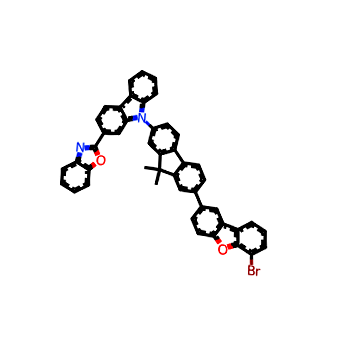 CC1(C)c2cc(-c3ccc4oc5c(Br)cccc5c4c3)ccc2-c2ccc(-n3c4ccccc4c4ccc(-c5nc6ccccc6o5)cc43)cc21